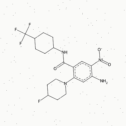 Nc1cc(N2CCC(F)CC2)c(C(=O)NC2CCC(C(F)(F)F)CC2)cc1[N+](=O)[O-]